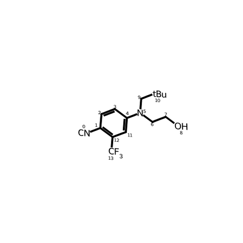 [C-]#[N+]c1ccc(N(CCO)CC(C)(C)C)cc1C(F)(F)F